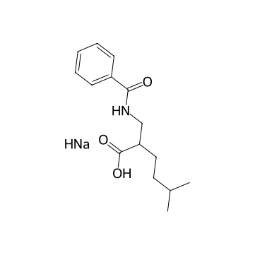 CC(C)CCC(CNC(=O)c1ccccc1)C(=O)O.[NaH]